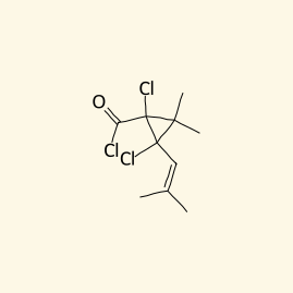 CC(C)=CC1(Cl)C(C)(C)C1(Cl)C(=O)Cl